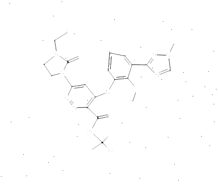 [2H]C([2H])([2H])NC(=O)c1nnc(N2CCN(CC)C2=O)cc1Nc1cccc(-c2ncn(C)n2)c1OC